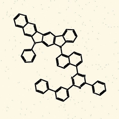 c1ccc(-c2cccc(-c3nc(-c4ccccc4)nc(-c4cccc5c(-n6c7ccccc7c7cc8c9cc%10ccccc%10cc9n(-c9ccccc9)c8cc76)cccc45)n3)c2)cc1